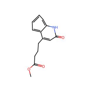 COC(=O)CCCc1cc(=O)[nH]c2ccccc12